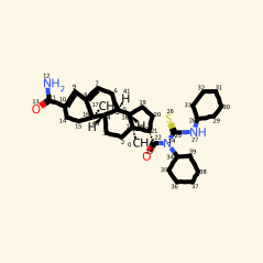 C[C@]12CC[C@H]3[C@@H](CC=C4C=C(C(N)=O)CC[C@@]43C)[C@@H]1CC[C@@H]2C(=O)N(C(=S)NC1CCCCC1)C1CCCCC1